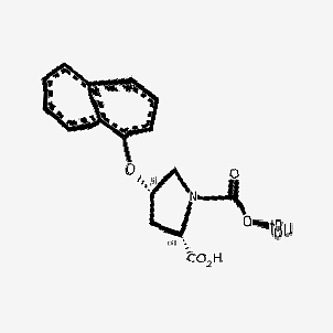 CC(C)(C)OC(=O)N1C[C@@H](Oc2cccc3ccccc23)C[C@H]1C(=O)O